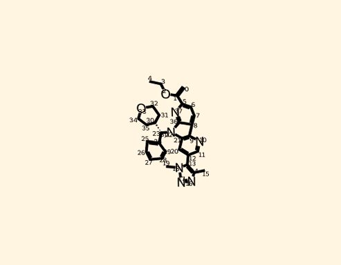 C=C(OCC)c1ccc2c3ncc(-c4c(C)nnn4C)cc3n([C@H](c3ccccc3)C3CCOCC3)c2n1